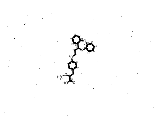 COC(Cc1ccc(OCCC2Sc3ccccc3Oc3ccccc32)cc1)C(=O)O